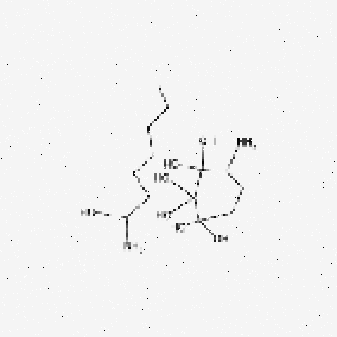 CCCCCCC(N)O.NC1CCC(O)(O)C(O)(O)C1(O)O